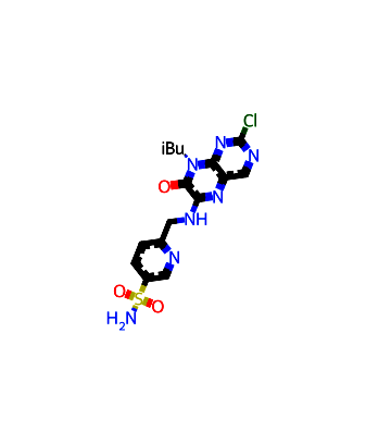 CC[C@@H](C)n1c(=O)c(NCc2ccc(S(N)(=O)=O)cn2)nc2cnc(Cl)nc21